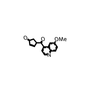 COc1ccc2nccc(C(=O)C3C=CC(=O)C3)c2c1